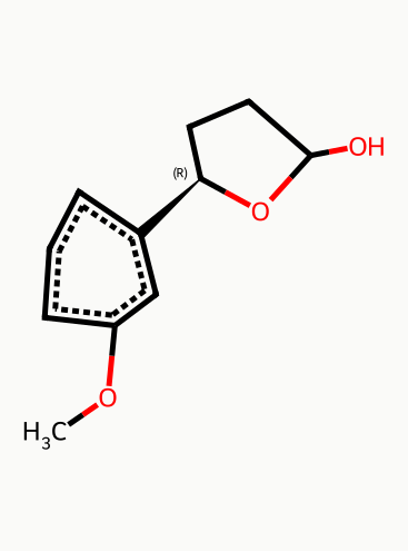 COc1cccc([C@H]2CCC(O)O2)c1